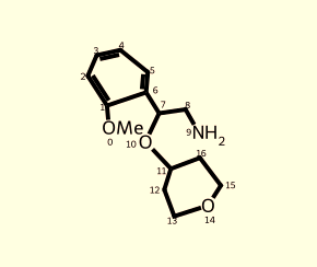 COc1ccccc1C(CN)OC1CCOCC1